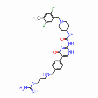 Cc1cc(F)c(CN2CCC(NC(=O)Nc3nc(=O)c(-c4ccc(CNCCCNC(=N)N)cc4)c[nH]3)CC2)cc1F